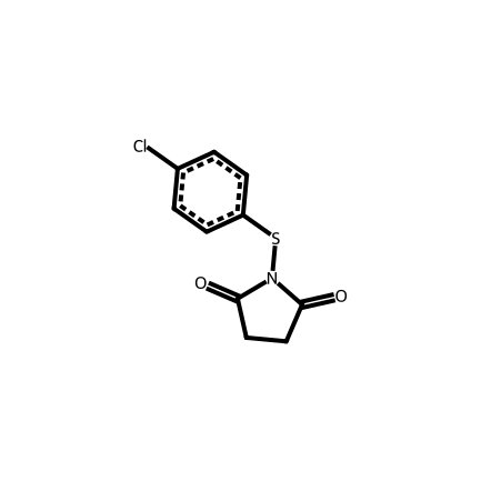 O=C1CCC(=O)N1Sc1ccc(Cl)cc1